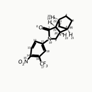 O=C1[C@H]2[C@H]3CC[C@H](C3)[C@H]2CN1c1ccc([N+](=O)[O-])c(C(F)(F)F)c1